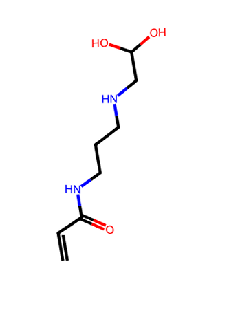 C=CC(=O)NCCCNCC(O)O